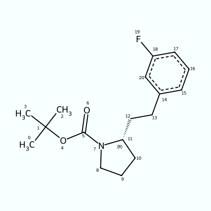 CC(C)(C)OC(=O)N1CCC[C@H]1CCc1cccc(F)c1